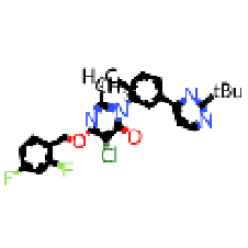 Cc1ccc(-c2ccnc(C(C)(C)C)n2)cc1-n1c(C)nc(OCc2ccc(F)cc2F)c(Cl)c1=O